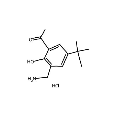 CC(=O)c1cc(C(C)(C)C)cc(CN)c1O.Cl